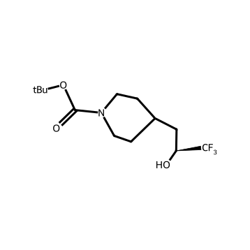 CC(C)(C)OC(=O)N1CCC(C[C@H](O)C(F)(F)F)CC1